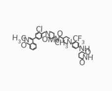 COc1cc(-c2cn(C)c(=O)c3ccccc23)cc(Cl)c1CN1CCC(N(C)C(=O)C2CCN(c3ccc(NC4CCC(=O)NC4=O)cc3C(F)(F)F)CC2)CC1